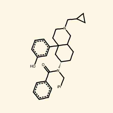 CC(C)CN(C(=O)c1ccccc1)[C@H]1CCC2CN(CC3CC3)CCC2(c2cccc(O)c2)C1